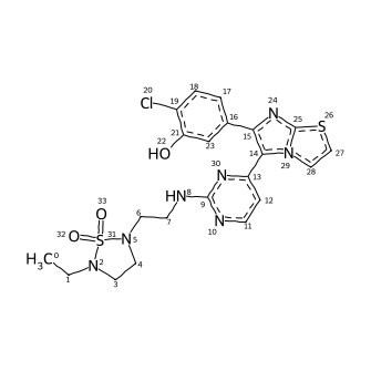 CCN1CCN(CCNc2nccc(-c3c(-c4ccc(Cl)c(O)c4)nc4sccn34)n2)S1(=O)=O